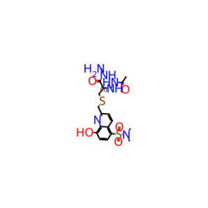 CC(=O)NN[C@@H](CSCc1ccc2c(S(=O)(=O)N(C)C)ccc(O)c2n1)C(=O)NN